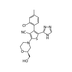 Cc1ccc(-c2c(-c3nnc[nH]3)sc(N3CCO[C@H](CO)C3)c2C#N)c(Cl)c1